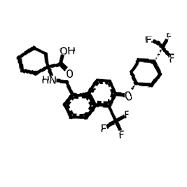 O=C(O)C1(NCc2cccc3c(C(F)(F)F)c(O[C@H]4CC[C@@H](C(F)(F)F)CC4)ccc23)CCCCC1